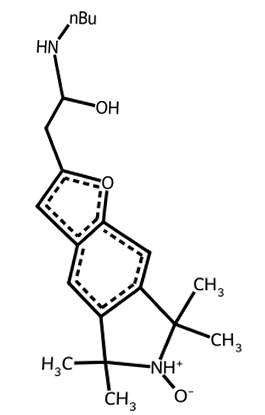 CCCCNC(O)Cc1cc2cc3c(cc2o1)C(C)(C)[NH+]([O-])C3(C)C